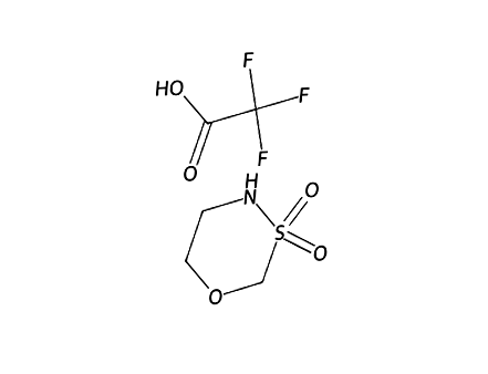 O=C(O)C(F)(F)F.O=S1(=O)COCCN1